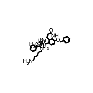 CC(C)(C)[Si](C)(C)O[C@@H](CN(CCCCCN)Cc1ccccc1)c1ccc(OCc2ccccc2)c2[nH]c(=O)ccc12